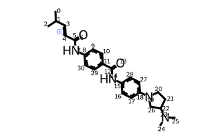 CC(C)/C=C/C(=O)Nc1ccc(C(=O)Nc2ccc(N3CCC(N(C)C)C3)cc2)cc1